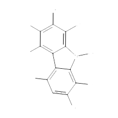 Oc1cc(O)c2c3c(O)c(O)c(O)c(P)c3n(O)c2c1O